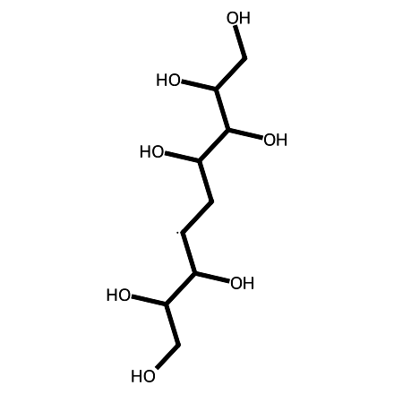 OCC(O)C(O)[CH]CC(O)C(O)C(O)CO